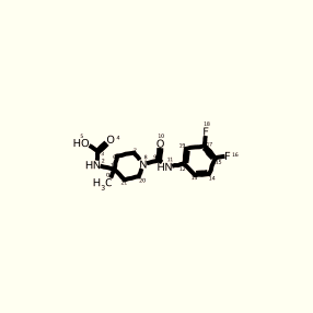 CC1(NC(=O)O)CCN(C(=O)Nc2ccc(F)c(F)c2)CC1